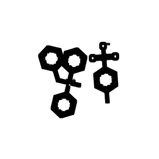 C[P+](Cc1ccccc1)(c1ccccc1)c1ccccc1.Cc1ccc(S(=O)(=O)[O-])cc1